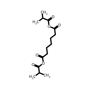 CC(C)C(=O)OC(=O)CCCCCC(=O)OC(=O)C(C)C